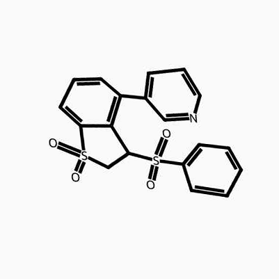 O=S1(=O)CC(S(=O)(=O)c2ccccc2)c2c(-c3cccnc3)cccc21